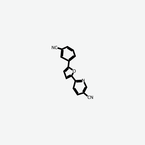 N#Cc1ccc(-c2ccc(-c3cccc(C#N)c3)o2)nc1